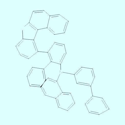 c1ccc(-c2cccc(N(c3cccc(-c4cccc5oc6ccc7ccccc7c6c45)c3-c3ccccc3)c3cccc4ccccc34)c2)cc1